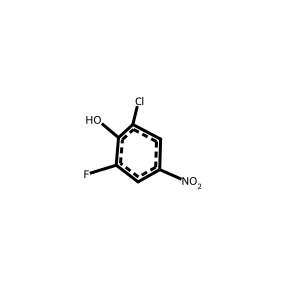 O=[N+]([O-])c1cc(F)c(O)c(Cl)c1